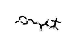 C[C@@H](OC(=O)C(=O)OCCN1CCN(C)CC1)C(C)(C)C